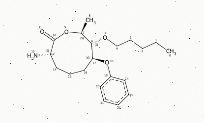 CCCCCO[C@H]1[C@H](C)OC(=O)[C@@H](N)CCC[C@@H]1Oc1ccccc1